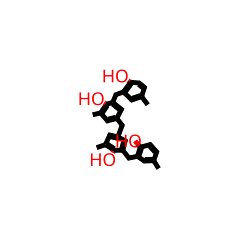 Cc1ccc(O)c(Cc2cc(Cc3cc(C)c(O)c(Cc4cc(C)ccc4O)c3)cc(C)c2O)c1